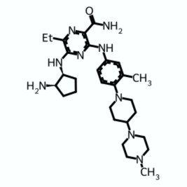 CCc1nc(C(N)=O)c(Nc2ccc(N3CCC(N4CCN(C)CC4)CC3)c(C)c2)nc1N[C@H]1CCC[C@H]1N